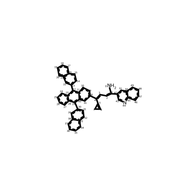 N/C(=C\C=C(/C1=CC1)c1ccc2c(-c3ccc4ccccc4c3)c3ccccc3c(-c3ccc4ccccc4c3)c2c1)c1cnc2ccccc2c1